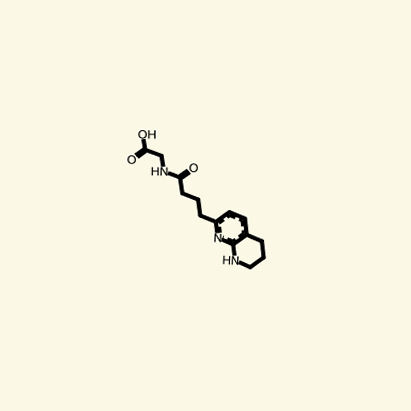 O=C(O)CNC(=O)CCCc1ccc2c(n1)NCCC2